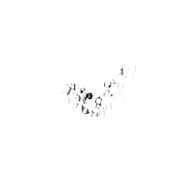 CC(C)CC(N)C(=O)O.CCC(C)C(N)C(=O)O.CSCCC(N)C(=O)O.NC(Cc1c[nH]c2ccccc12)C(=O)O.NC(Cc1ccccc1)C(=O)O.O=C(O)[C@@H]1CCCN1